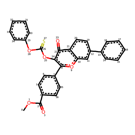 COC(=O)c1ccc(-c2oc3cc(-c4ccccc4)ccc3c(=O)c2OC(=S)Oc2ccccc2)cc1